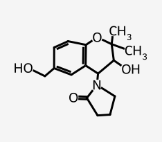 CC1(C)Oc2ccc(CO)cc2C(N2CCCC2=O)C1O